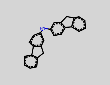 c1ccc2c(c1)Cc1cc(Nc3ccc4c(c3)Cc3ccccc3-4)ccc1-2